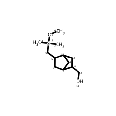 CO[Si](C)(C)CC1CC2CC1CC2CO